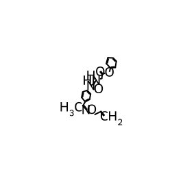 C=CCO/N=C(/C)c1ccc(NC(=O)NCC(=O)Oc2ccccc2)cc1